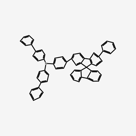 c1ccc(-c2ccc(N(c3ccc(-c4ccccc4)cc3)c3ccc(-c4ccc5c(c4)C4(c6ccccc6-c6ccccc64)c4ccc(-c6ccccc6)cc4-5)cc3)cc2)cc1